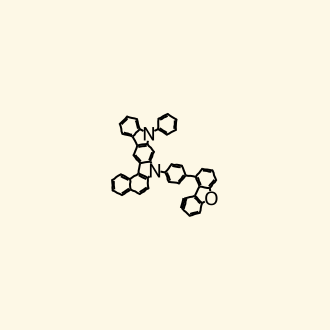 c1ccc2oc3cccc(-c4ccc(-n5c6cc7c(cc6c6c8ccccc8ccc65)c5ccccc5n7-c5ccccc5)cc4)c3c2c#1